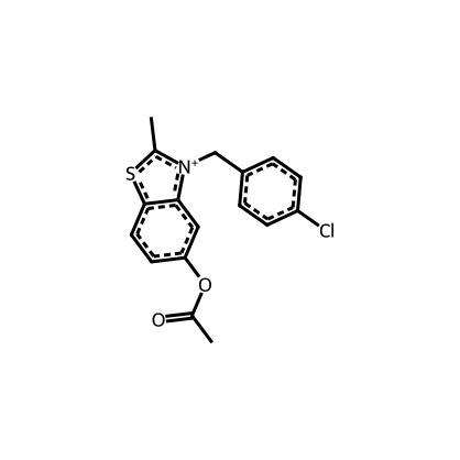 CC(=O)Oc1ccc2sc(C)[n+](Cc3ccc(Cl)cc3)c2c1